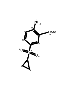 COc1cc(S(=O)(=O)C2CC2)ccc1N